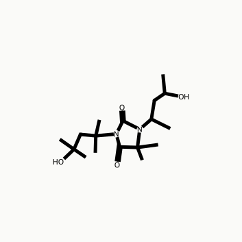 CC(O)CC(C)N1C(=O)N(C(C)(C)CC(C)(C)O)C(=O)C1(C)C